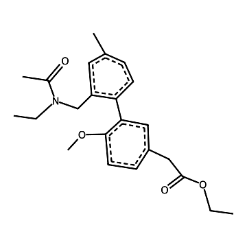 CCOC(=O)Cc1ccc(OC)c(-c2ccc(C)cc2CN(CC)C(C)=O)c1